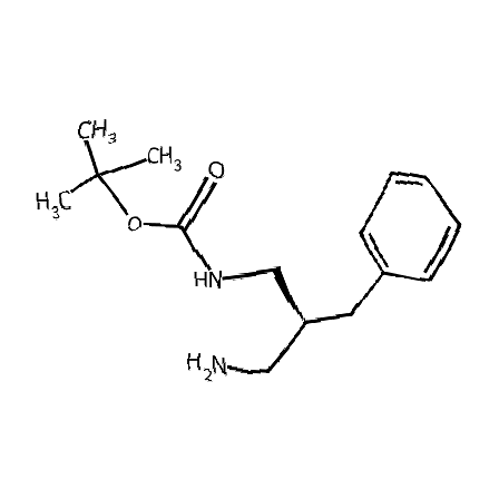 CC(C)(C)OC(=O)NC[C@H](CN)Cc1ccccc1